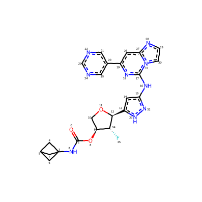 O=C(NC12CC(C1)C2)O[C@H]1CO[C@@H](c2cc(Nc3nc(-c4cncnc4)cc4nccn34)n[nH]2)[C@@H]1F